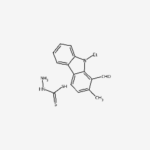 CCn1c2ccccc2c2ccc(C)c(C=O)c21.NNC(=S)S